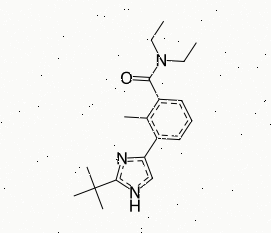 CCN(CC)C(=O)c1cccc(-c2c[nH]c(C(C)(C)C)n2)c1C